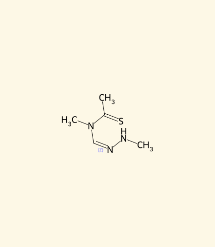 CN/N=C\N(C)C(C)=S